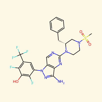 CS(=O)(=O)N1CCN(c2ncc3c(n2)c(N)nn3-c2cc(C(F)(F)F)c(F)c(O)c2F)[C@H](Cc2ccccc2)C1